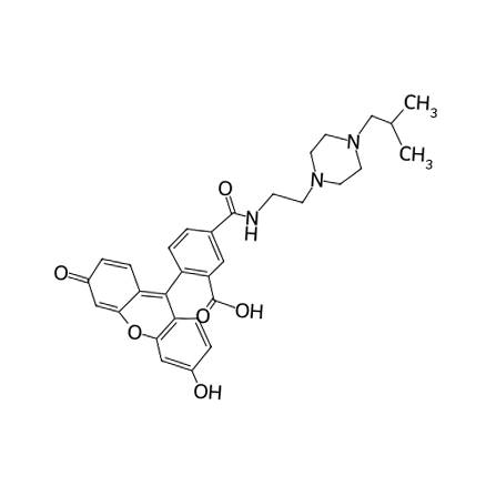 CC(C)CN1CCN(CCNC(=O)c2ccc(-c3c4ccc(=O)cc-4oc4cc(O)ccc34)c(C(=O)O)c2)CC1